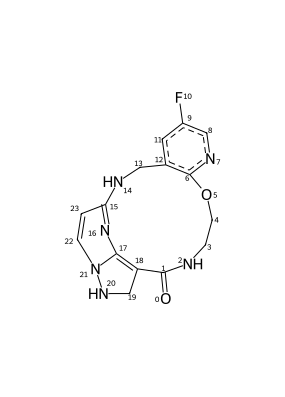 O=C1NCCOc2ncc(F)cc2CNC2=NC3=C1CNN3C=C2